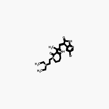 CCN(CC)CCN1CCCc2[nH]c(/C=C3/C(=O)Nc4ncc(Br)cc43)c(C)c2C1=O